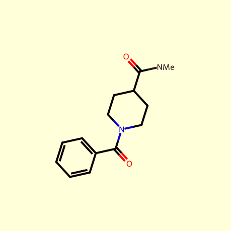 CNC(=O)C1CCN(C(=O)c2ccccc2)CC1